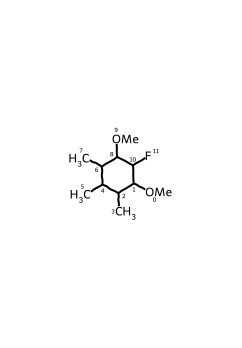 COC1C(C)C(C)C(C)C(OC)C1F